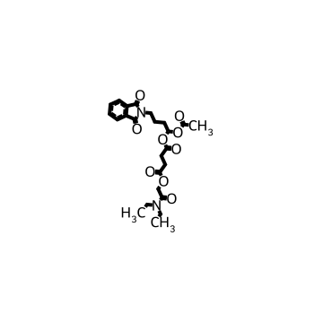 CCN(CC)C(=O)COC(=O)CCC(=O)OC(CCCN1C(=O)c2ccccc2C1=O)OC(C)=O